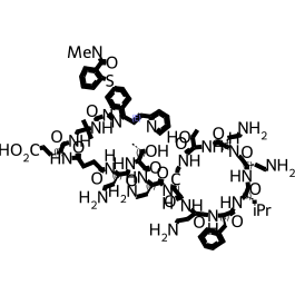 CNC(=O)c1ccccc1Sc1ccc2c(/C=C/c3ccccn3)nn(C(=O)NC(C)(C)CNC(=O)[C@@H](CCC(=O)O)NC(=O)CCC(=O)N[C@H](CCN)C(=O)NC(C(=O)N[C@H](CCN)C(=O)N[C@@H]3CCNC(=O)C(C(C)O)NC(=O)[C@H](CCN)NC(=O)[C@H](CCN)NC(=O)[C@H](CC(C)C)NC(=O)[C@@H](Cc4ccccc4)NC(=O)C(CCN)NC3=O)[C@H](C)O)c2c1